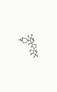 CN1CCN(C(C(F)(F)F)C(F)(F)C2CCC(C(F)(F)C(F)C(F)(F)F)O2)CC1